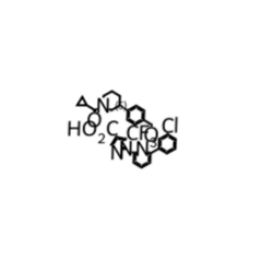 O=C(O)c1cnn(-c2cccc(-c3cccc(Cl)c3OCc3ccc([C@@H]4CCCN(C(=O)C5CC5)C4)cc3)n2)c1C(F)(F)F